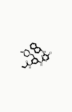 C=CC(=O)Nc1cc(CN2CCN(C)CC2)cc(Nc2ncc(Cl)c(Nc3ccc4ccccc4c3)n2)c1